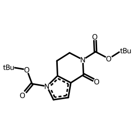 CC(C)(C)OC(=O)N1CCc2c(ccn2C(=O)OC(C)(C)C)C1=O